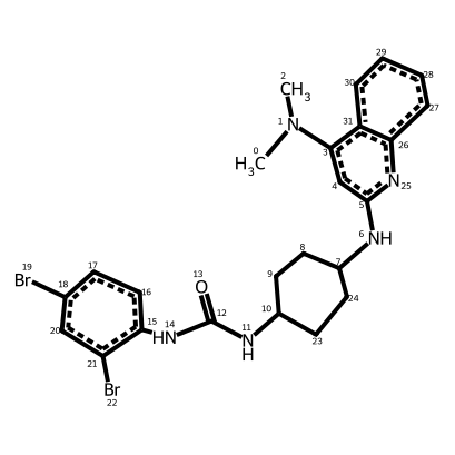 CN(C)c1cc(NC2CCC(NC(=O)Nc3ccc(Br)cc3Br)CC2)nc2ccccc12